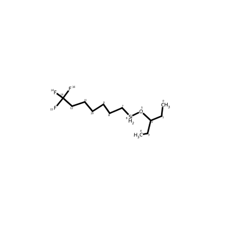 CCC(CC)O[SiH2]CCCCCCC(F)(F)F